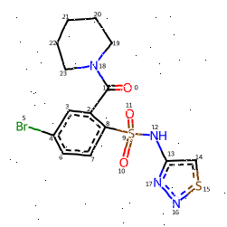 O=C(c1cc(Br)ccc1S(=O)(=O)Nc1csnn1)N1CCCCC1